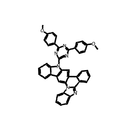 COc1ccc(-c2nc(-c3ccc(OC)cc3)nc(-n3c4ccccc4c4cc5c(cc43)c3ccccc3c3nc4ccccc4n53)n2)cc1